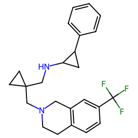 FC(F)(F)c1ccc2c(c1)CN(CC1(CNC3CC3c3ccccc3)CC1)CC2